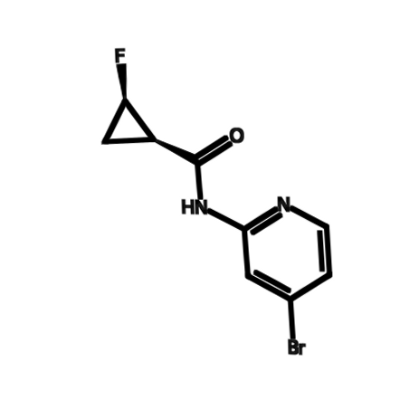 O=C(Nc1cc(Br)ccn1)[C@H]1C[C@H]1F